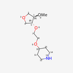 CO[C@@H]1COC[C@H]1OCCOC1CCNCC1